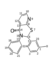 Cc1cccc(C2Sc3ncccc3C(=O)N2c2ccccc2)c1